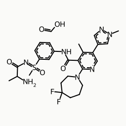 Cc1c(-c2cnn(C)c2)cnc(N2CCCC(F)(F)CC2)c1C(=O)Nc1cccc(S(C)(=O)=NC(=O)C(C)N)c1.O=CO